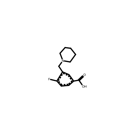 O=C(O)c1ccc(F)c(CN2CC[CH]CC2)c1